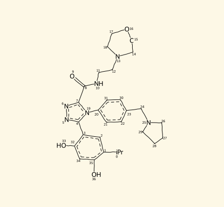 CC(C)c1cc(-c2nnc(C(=O)NCCN3CCOCC3)n2-c2ccc(CN3CCCC3)cc2)c(O)cc1O